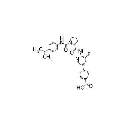 CC(C)c1ccc(NC(=O)N2CCC[C@H]2C(=O)Nc2ncc(-c3ccc(C(=O)O)cc3)cc2F)cc1